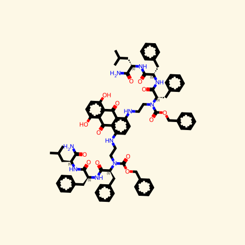 CC(C)C[C@H](NC(=O)[C@H](Cc1ccccc1)NC(=O)[C@H](Cc1ccccc1)N(CCNc1ccc(NCCN(C(=O)OCc2ccccc2)[C@@H](Cc2ccccc2)C(=O)N[C@@H](Cc2ccccc2)C(=O)N[C@@H](CC(C)C)C(N)=O)c2c1C(=O)c1c(O)ccc(O)c1C2=O)C(=O)OCc1ccccc1)C(N)=O